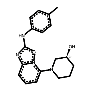 Cc1ccc(Nc2nc3cccc(N4CCC[C@H](O)C4)n3n2)cc1